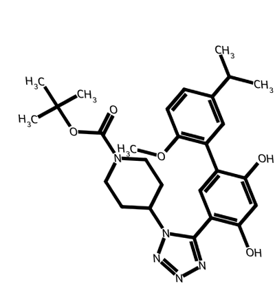 COc1ccc(C(C)C)cc1-c1cc(-c2nnnn2C2CCN(C(=O)OC(C)(C)C)CC2)c(O)cc1O